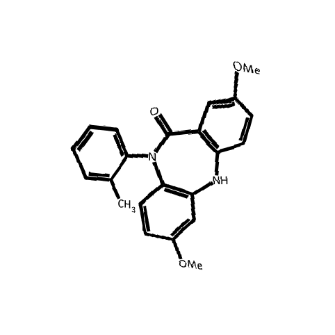 COc1ccc2c(c1)Nc1ccc(OC)cc1C(=O)N2c1ccccc1C